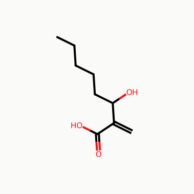 C=C(C(=O)O)C(O)CCCCC